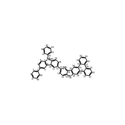 c1ccc(-c2ccc3c(c2)c2cc(-c4ccc5sc6cc7c8ccccc8c8ccccc8c7cc6c5n4)ccc2n3-c2ccccc2)cc1